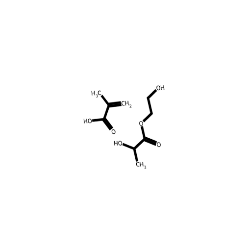 C=C(C)C(=O)O.CC(O)C(=O)OCCO